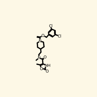 C=C(OCc1cc(Cl)cc(Cl)c1)N1CCC(CCN(C)C(=O)c2[nH]c(=O)oc2C)CC1